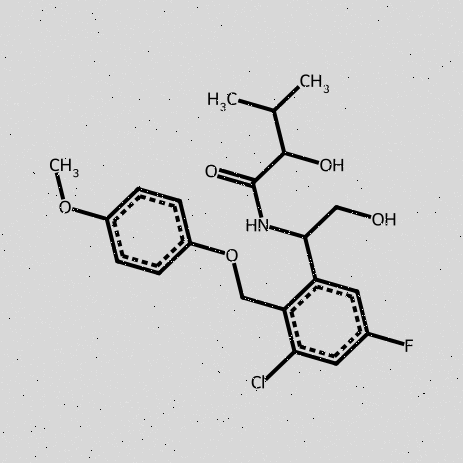 COc1ccc(OCc2c(Cl)cc(F)cc2C(CO)NC(=O)C(O)C(C)C)cc1